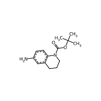 CC(C)(C)OC(=O)N1CCCc2cc(N)ccc21